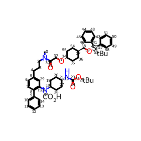 CN(CCCc1ccc(-c2ccccc2)c(N(C(=O)O)[C@H]2CC[C@H](NC(=O)OC(C)(C)C)CC2)c1)C(=O)CO[C@H]1CC[C@H](CO[Si](c2ccccc2)(c2ccccc2)C(C)(C)C)CC1